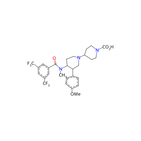 COc1ccc(C2CN(C3CCN(C(=O)O)CC3)CCC2N(C)C(=O)c2cc(C(F)(F)F)cc(C(F)(F)F)c2)cc1